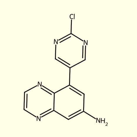 Nc1cc(-c2cnc(Cl)nc2)c2nccnc2c1